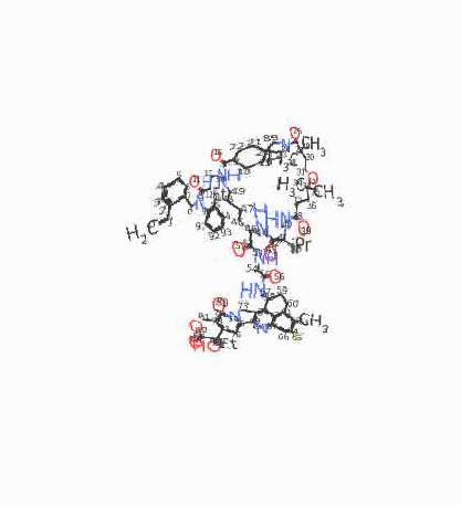 C=Cc1ccccc1CN(C(=O)CCNC(=O)C1CCC2(CC1)CN(C(=O)C(C)(C)CCOC(C)(C)CCC(=O)N[C@H](C(=O)N[C@@H](CCCCN)C(=O)NCC(=O)N[C@H]1CCc3c(C)c(F)cc4nc5c(c1c34)Cn1c-5cc3c(c1=O)COC(=O)[C@]3(O)CC)C(C)C)C2)c1ccccc1CC